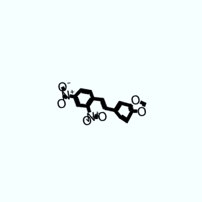 O=[N+]([O-])c1ccc(C=Cc2ccc3c(c2)OCO3)c([N+](=O)[O-])c1